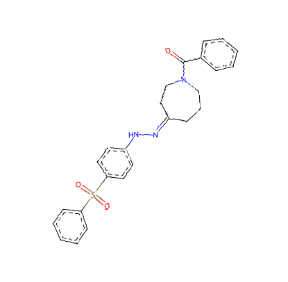 O=C(c1ccccc1)N1CCCC(=NNc2ccc(S(=O)(=O)c3ccccc3)cc2)CC1